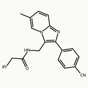 Cc1ccc2nc(-c3ccc(C#N)cc3)c(CNC(=O)CC(C)C)n2c1